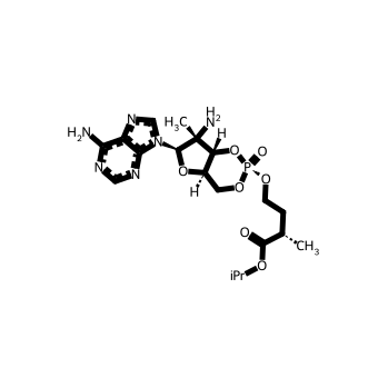 CC(C)OC(=O)[C@@H](C)CCO[P@]1(=O)OC[C@H]2O[C@@H](n3cnc4c(N)ncnc43)[C@](C)(N)[C@@H]2O1